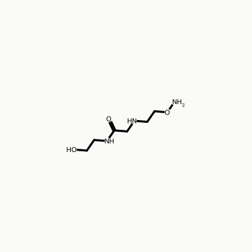 NOCCNCC(=O)NCCO